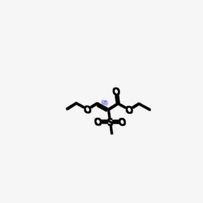 CCO/C=C(/C(=O)OCC)S(C)(=O)=O